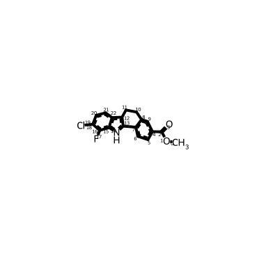 COC(=O)c1ccc2c(c1)CCc1c-2[nH]c2c(F)c(Cl)ccc12